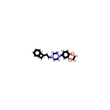 c1ccc2c(c1)CC2CCN1CCN(c2ccc3c(c2)OCCO3)CC1